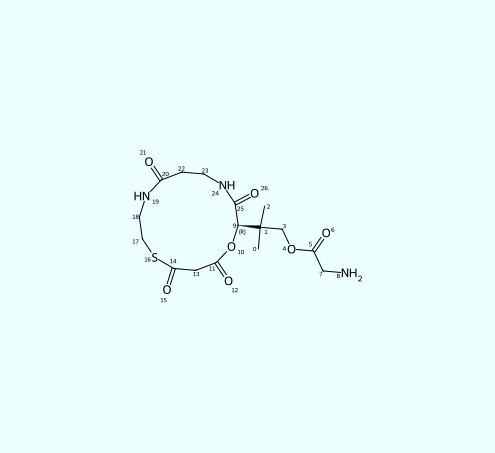 CC(C)(COC(=O)CN)[C@H]1OC(=O)CC(=O)SCCNC(=O)CCNC1=O